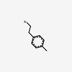 [CH2]c1ccc(CCBr)cc1